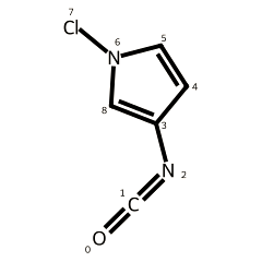 O=C=Nc1ccn(Cl)c1